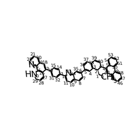 CC[C@H]1c2cc(-c3ccc4ccc(-c5ccc(-c6cc7cccnc7c7c6C=CCN7)cc5)nc4c3)ccc2C=CC1c1cc2ccccc2c2ccccc12